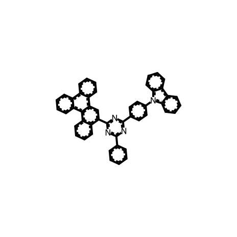 c1ccc(-c2nc(-c3ccc(-n4c5ccccc5c5ccccc54)cc3)nc(-c3cc4c5ccccc5c5ccccc5c4c4ccccc34)n2)cc1